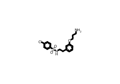 NCCCOc1cccc(CCNS(=O)(=O)c2ccc(Cl)cc2)c1